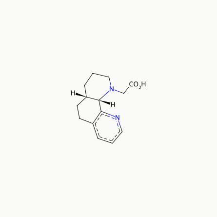 O=C(O)CN1CCC[C@H]2CCc3cccnc3[C@H]21